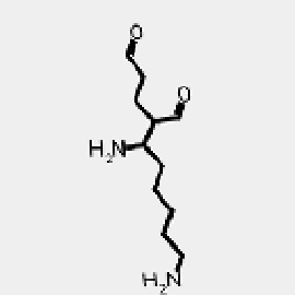 NCCCCCC(N)C(C=O)CCC=O